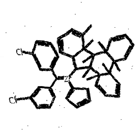 CC1=CC=CC2[CH]([Zr]([C]3=CC=CC3)=[C](c3cccc(Cl)c3)c3cccc(Cl)c3)C3(C)C4(C)C=CC=CC4(C)C4(C)C=CC=CC4(C)C3(C)C12C